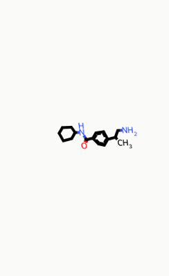 CC(CN)c1ccc(C(=O)NC2CCCCC2)cc1